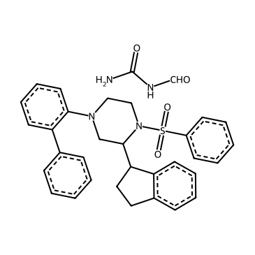 NC(=O)NC=O.O=S(=O)(c1ccccc1)N1CCN(c2ccccc2-c2ccccc2)CC1C1CCc2ccccc21